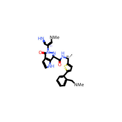 CN/C=C(\C=N)n1nc(C(=O)N[C@H](C)c2ccc(-c3ccccc3CNC)s2)c2[nH]ccc2c1=O